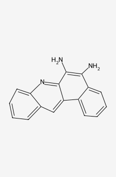 Nc1c(N)c2nc3ccccc3cc2c2ccccc12